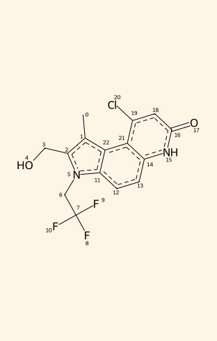 Cc1c(CO)n(CC(F)(F)F)c2ccc3[nH]c(=O)cc(Cl)c3c12